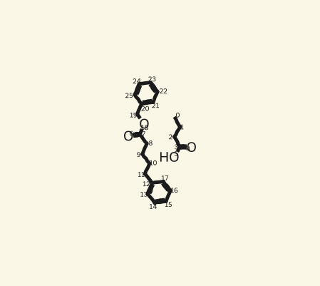 CCCC(=O)O.O=C(CCCCc1ccccc1)OCc1ccccc1